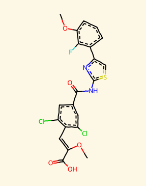 CO/C(=C\c1c(Cl)cc(C(=O)Nc2nc(-c3cccc(OC)c3F)cs2)cc1Cl)C(=O)O